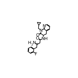 N[C@@H](CC(=O)NC1Cc2cccnc2N(CC2CC2)C1=O)Cc1ccccc1F